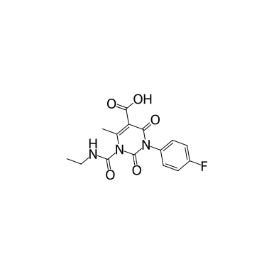 CCNC(=O)n1c(C)c(C(=O)O)c(=O)n(-c2ccc(F)cc2)c1=O